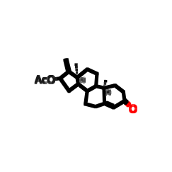 C=C1C(OC(C)=O)CC2C3CCC4=CC(=O)CC[C@]4(C)C3CC[C@]12C